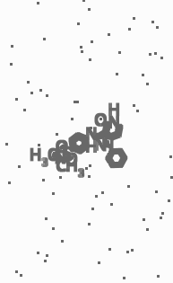 CN(C)S(=O)(=O)c1ccc(Nc2nn(C3CCCCC3)c3cc[nH]c(=O)c23)cc1